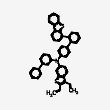 C=Cc1sc2cc(N(c3ccc(-c4ccccc4-c4cccc5c4sc4ccccc45)cc3)c3cccc(-c4ccccc4)c3)ccc2c1C=C